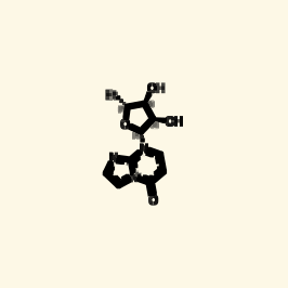 CC[C@H]1O[C@@H](n2ccc(=O)n3ccnc23)[C@H](O)[C@@H]1O